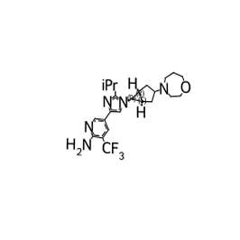 CC(C)c1nc(-c2cnc(N)c(C(F)(F)F)c2)cn1[C@H]1[C@@H]2CC(N3CCCOCC3)C[C@@H]21